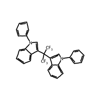 FC(F)(F)C(c1cn(-c2ccccc2)c2ccccc12)(c1cn(-c2ccccc2)c2ccccc12)C(F)(F)F